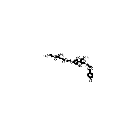 N#Cc1c(N)nc(SCc2csc(-c3ccc(Cl)cc3)n2)c(C#N)c1-c1ccc(OCCOC(=O)CC[C@H](N)C(=O)NCCN)cc1